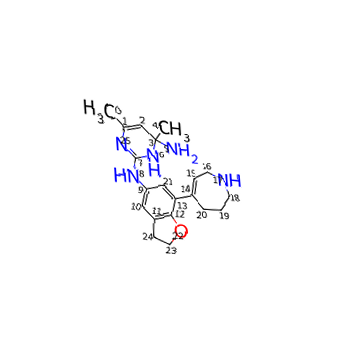 CC1=CC(C)(N)NC(Nc2cc3c(c(C4=CCNCCC4)c2)OCC3)=N1